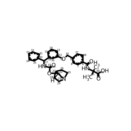 CC(C)(NC(=O)c1ccc(COc2cccc(C(NC(=O)O[C@H]3CN4CCC3CC4)c3ccccc3)c2)cc1)C(=O)O